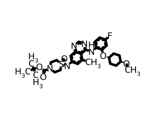 CO[C@H]1CC[C@H](Oc2cc(F)ccc2Nc2ncnc3cc(N=S4(=O)CCN(C(=O)OC(C)(C)C)CC4)cc(C)c23)CC1